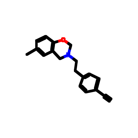 C#Cc1ccc(CCN2COc3ccc(C)cc3C2)cc1